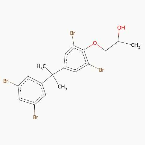 [CH2]C(O)COc1c(Br)cc(C(C)(C)c2cc(Br)[c]c(Br)c2)cc1Br